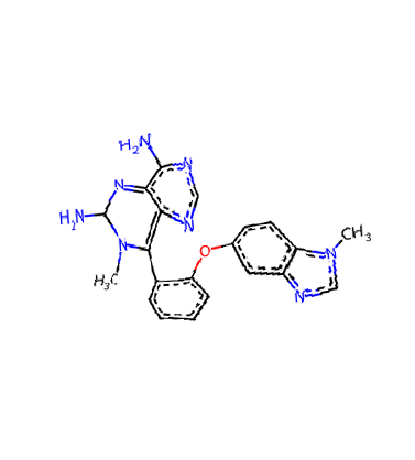 CN1C(c2ccccc2Oc2ccc3c(c2)ncn3C)=c2ncnc(N)c2=NC1N